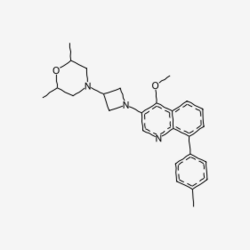 COc1c(N2CC(N3CC(C)OC(C)C3)C2)cnc2c(-c3ccc(C)cc3)cccc12